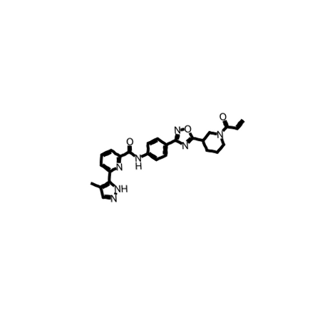 C=CC(=O)N1CCCC(c2nc(-c3ccc(NC(=O)c4cccc(-c5[nH]ncc5C)n4)cc3)no2)C1